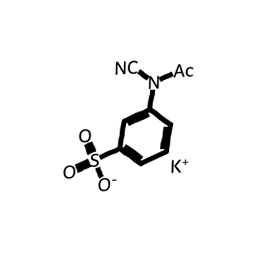 CC(=O)N(C#N)c1cccc(S(=O)(=O)[O-])c1.[K+]